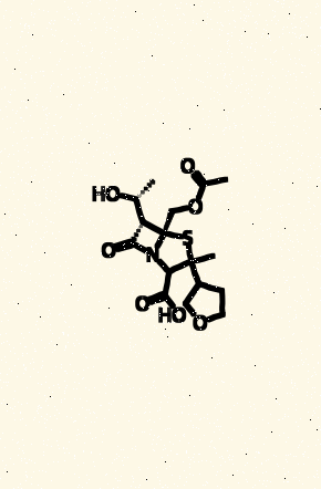 CC(=O)OC[C@@]12SC(C)(C3CCOC3)C(C(=O)O)N1C(=O)[C@@H]2[C@@H](C)O